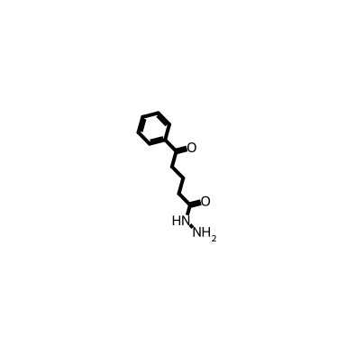 NNC(=O)CCCC(=O)c1ccccc1